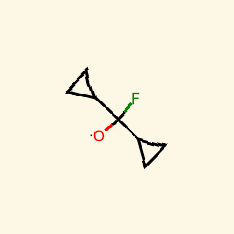 [O]C(F)(C1CC1)C1CC1